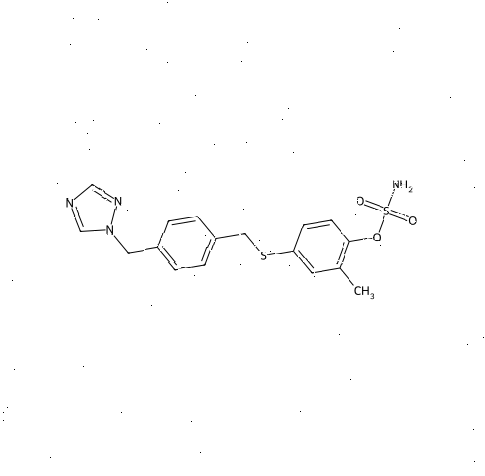 Cc1cc(SCc2ccc(Cn3cncn3)cc2)ccc1OS(N)(=O)=O